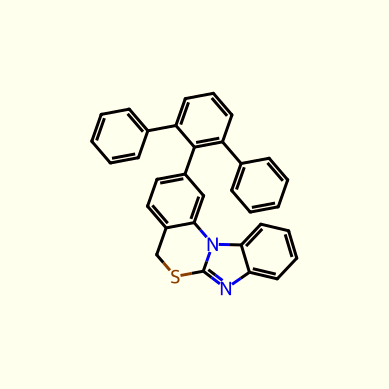 c1ccc(-c2cccc(-c3ccccc3)c2-c2ccc3c(c2)-n2c(nc4ccccc42)SC3)cc1